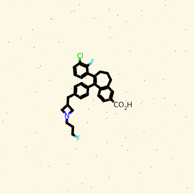 O=C(O)c1ccc2c(c1)CCCC(c1cccc(Cl)c1F)=C2c1ccc(CC2CN(CCCF)C2)cc1